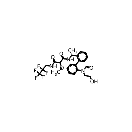 COC(C(=O)NCC(F)(F)C(F)(F)F)C(=O)N[C@H](C)c1ccccc1-c1ccccc1N(C=O)CCO